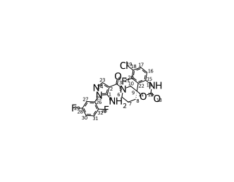 Nc1c(C(=O)N2CCC[C@@]3(C2)OC(=O)Nc2ccc(Cl)c(F)c23)cnn1-c1cc(F)ccc1F